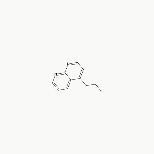 CCCc1ccnc2ncccc12